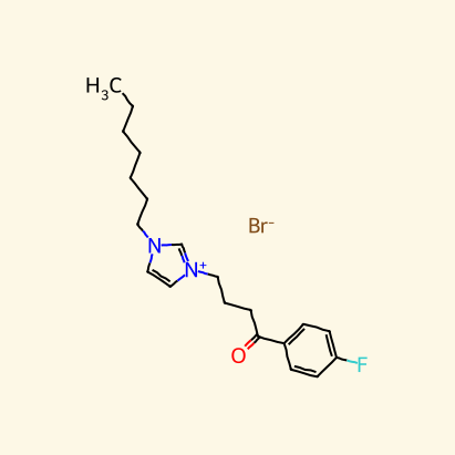 CCCCCCCn1cc[n+](CCCC(=O)c2ccc(F)cc2)c1.[Br-]